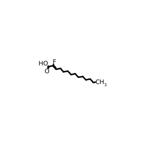 CCCCCCCCCCCC=C(F)C(=O)O